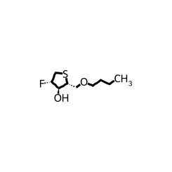 CCCCOC[C@H]1SC[C@@H](F)[C@@H]1O